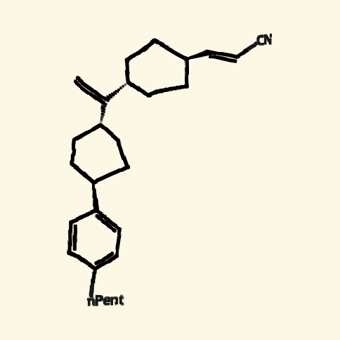 C=C([C@H]1CC[C@H](/C=C/C#N)CC1)[C@H]1CC[C@H](c2ccc(CCCCC)cc2)CC1